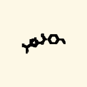 CC[C@H]1CC[C@H](C(=O)Oc2cc(C(F)F)cs2)CC1